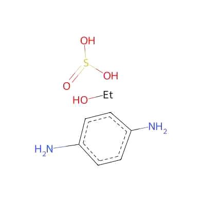 CCO.Nc1ccc(N)cc1.O=S(O)O